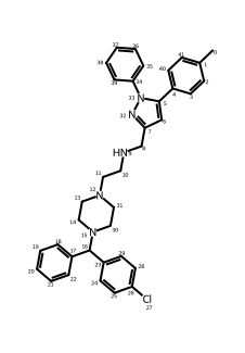 Cc1ccc(-c2cc(CNCCN3CCN(C(c4ccccc4)c4ccc(Cl)cc4)CC3)nn2-c2ccccc2)cc1